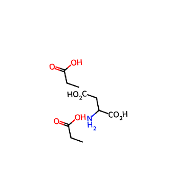 CCC(=O)O.CCC(=O)O.NC(CC(=O)O)C(=O)O